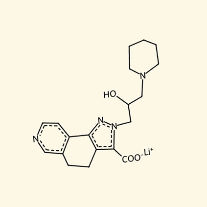 O=C([O-])c1c2c(nn1CC(O)CN1CCCCC1)-c1ccncc1CC2.[Li+]